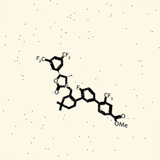 COC(=O)c1ccc(-c2ccc(F)c(C3=C(CN4C(=O)O[C@H](c5cc(C(F)(F)F)cc(C(F)(F)F)c5)[C@@H]4C)CC(C)(C)CC3)c2)c(C(F)(F)F)c1